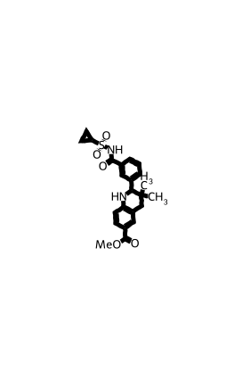 COC(=O)c1ccc2c(c1)CC(C)(C)C(c1cccc(C(=O)NS(=O)(=O)C3CC3)c1)N2